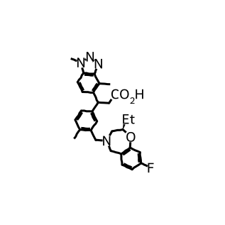 CC[C@@H]1CN(Cc2cc(C(CC(=O)O)c3ccc4c(nnn4C)c3C)ccc2C)Cc2ccc(F)cc2O1